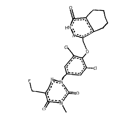 Cn1c(=O)c(CF)nn(-c2cc(Cl)c(Oc3n[nH]c(=O)c4c3CCCC4)c(Cl)c2)c1=O